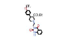 CCOC(=O)C1CN(CCn2c(=O)[nH]c3ccccc3c2=O)CCC1c1ccc(OC(F)(F)F)cc1